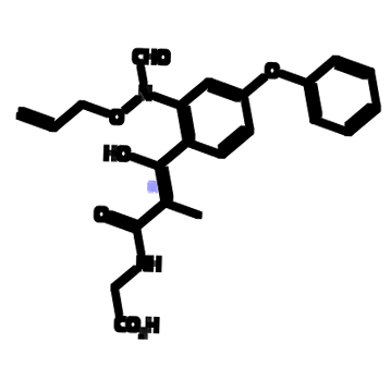 C=CCON(C=O)c1cc(Oc2ccccc2)ccc1/C(O)=C(\C)C(=O)NCC(=O)O